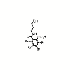 O=C(O)c1c(Br)c(Br)c(Br)c(Br)c1C(=O)NCCCO